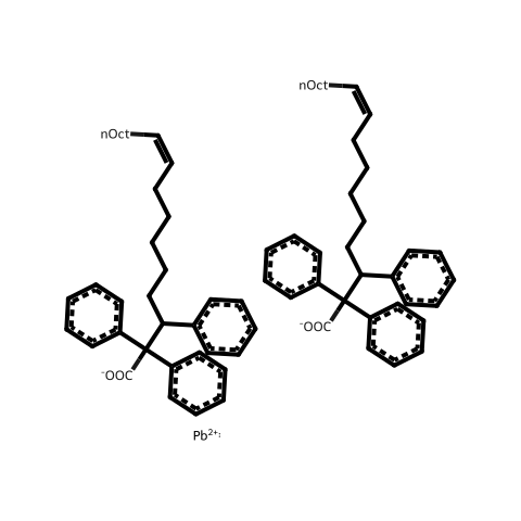 CCCCCCCC/C=C\CCCCCC(c1ccccc1)C(C(=O)[O-])(c1ccccc1)c1ccccc1.CCCCCCCC/C=C\CCCCCC(c1ccccc1)C(C(=O)[O-])(c1ccccc1)c1ccccc1.[Pb+2]